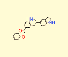 c1ccc2c(c1)OCC(c1ccc3c(c1)CC(c1ccc4c(c1)CCN4)CN3)O2